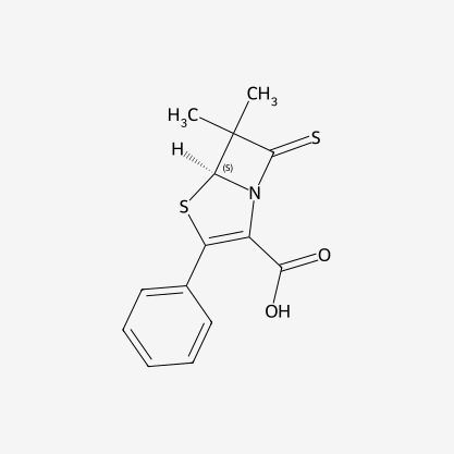 CC1(C)C(=S)N2C(C(=O)O)=C(c3ccccc3)S[C@H]21